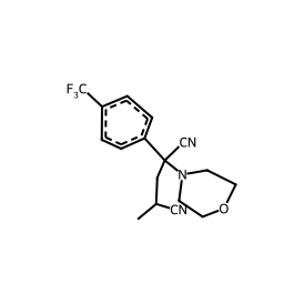 CC(C#N)CC(C#N)(c1ccc(C(F)(F)F)cc1)N1CCOCC1